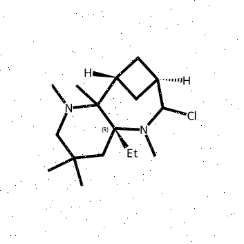 CC[C@@]12CC(C)(C)CN(C)C1(C)[C@H]1C[C@@H](C1)C(Cl)N2C